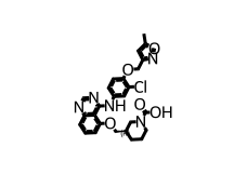 Cc1cc(COc2ccc(Nc3ncnc4cccc(OC[C@@H]5CCCN(C(=O)O)C5)c34)cc2Cl)no1